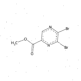 COC(=O)c1cnc(Br)c(Br)n1